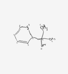 CC(C)C(C)(C)C1C=CC=CS1